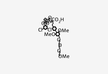 COCCOCCOCCOCc1cc(OC)c(-c2ccc(CC[C@H](NC(=O)[C@@H]3CCN3S(=O)(=O)c3cc(Cl)cc(Cl)c3)C(=O)O)cc2)c(OC)c1